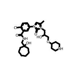 Cc1cn(-c2ccc(Cl)c(C(=O)NCC3(O)CCCCCC3)c2)c(=O)n1CC(O)COC1CCNCC1